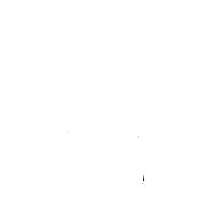 CC/C=C/C1CCCC(O[C@H]2CC[C@H](N(C)C=O)[C@@H](C)O2)C(C)C(=O)C2=CC3C(C=CC4CCCC43)C2CC(=O)O1